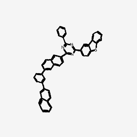 c1ccc(-c2nc(-c3ccc4cc(-c5cccc(-c6ccc7ccccc7c6)c5)ccc4c3)nc(-c3ccc4sc5ccccc5c4c3)n2)cc1